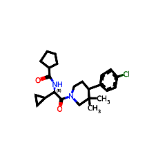 CC1(C)CN(C(=O)[C@H](NC(=O)C2CCCC2)C2CC2)CCC1c1ccc(Cl)cc1